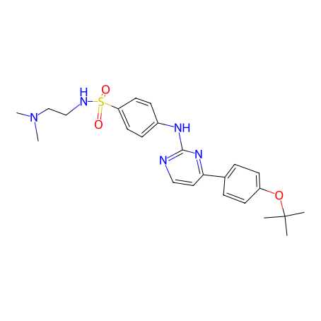 CN(C)CCNS(=O)(=O)c1ccc(Nc2nccc(-c3ccc(OC(C)(C)C)cc3)n2)cc1